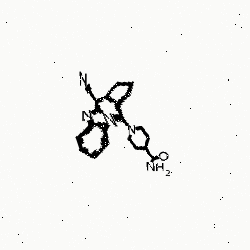 N#Cc1c2c(c(N3CCC(C(N)=O)CC3)n3c1nc1ccccc13)CCC2